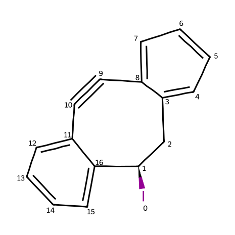 I[C@@H]1Cc2ccccc2C#Cc2ccccc21